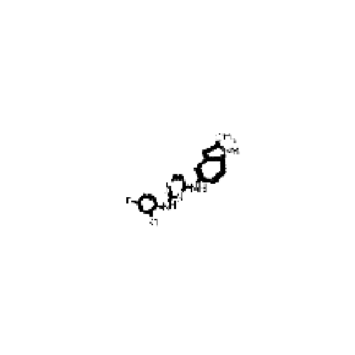 Cc1cc2cc(Nc3ccnc(Nc4ccc(F)cc4Cl)n3)ccc2[nH]1